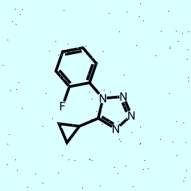 Fc1ccccc1-n1nnnc1C1CC1